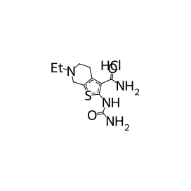 CCN1CCc2c(sc(NC(N)=O)c2C(N)=O)C1.Cl